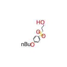 CCCCOc1ccc(S(=O)(=O)CCCO)cc1